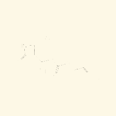 C=CCOC(=O)O[C@H](C)[C@@H]1C(=O)N[C@@H]1OC(C)=O